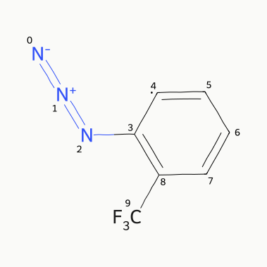 [N-]=[N+]=Nc1[c]cccc1C(F)(F)F